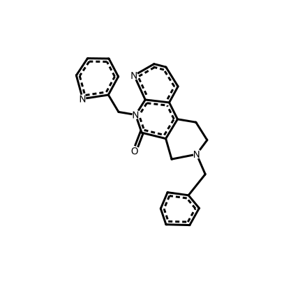 O=c1c2c(c3cccnc3n1Cc1ccccn1)CCN(Cc1ccccc1)C2